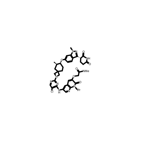 CNC(=O)COc1cc2cc(Nc3nc(N4CC5(CC[C@H](Oc6ccc7c([C@H]8CCC(=O)NC8=O)nn(C)c7c6)[C@H](C)C5)C4)ncc3Cl)cnc2n(C(C)C)c1=O